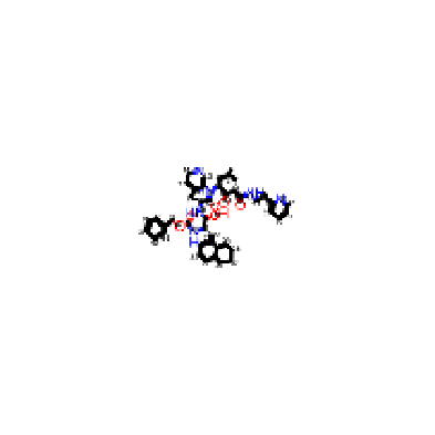 CC(C)CC(NC(=O)[C@H](Cc1ccncc1)NC(=O)[C@H](Cc1cccc2ccccc12)NC(=O)OCc1ccccc1)C(O)CC(=O)NCCc1ccccn1